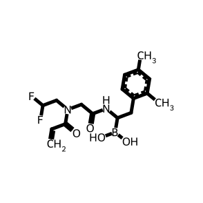 C=CC(=O)N(CC(=O)NC(Cc1ccc(C)cc1C)B(O)O)CC(F)F